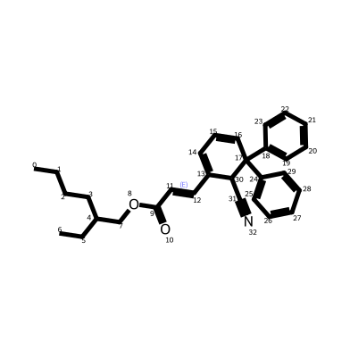 CCCCC(CC)COC(=O)/C=C/C1=CC=CC(c2ccccc2)(c2ccccc2)C1C#N